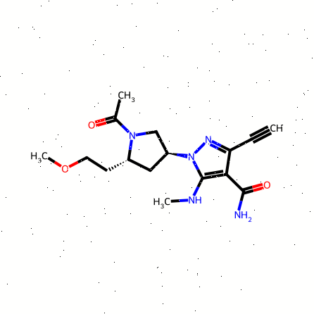 C#Cc1nn([C@H]2C[C@H](CCOC)N(C(C)=O)C2)c(NC)c1C(N)=O